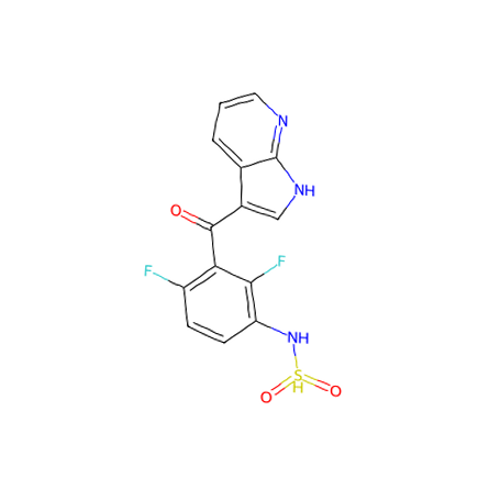 O=C(c1c(F)ccc(N[SH](=O)=O)c1F)c1c[nH]c2ncccc12